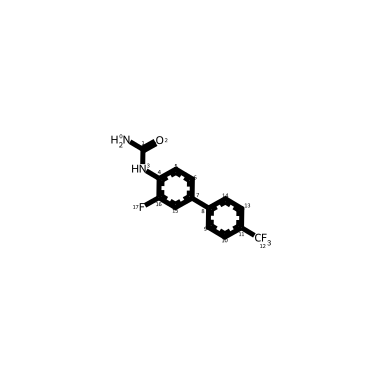 NC(=O)Nc1ccc(-c2ccc(C(F)(F)F)cc2)cc1F